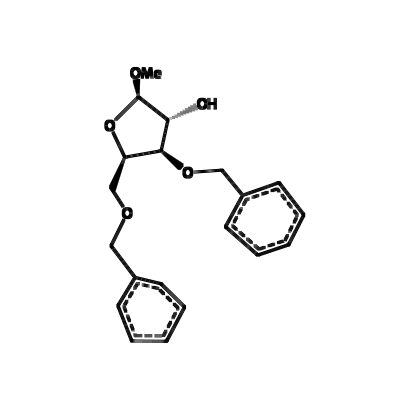 CO[C@@H]1O[C@H](COCc2ccccc2)[C@H](OCc2ccccc2)[C@H]1O